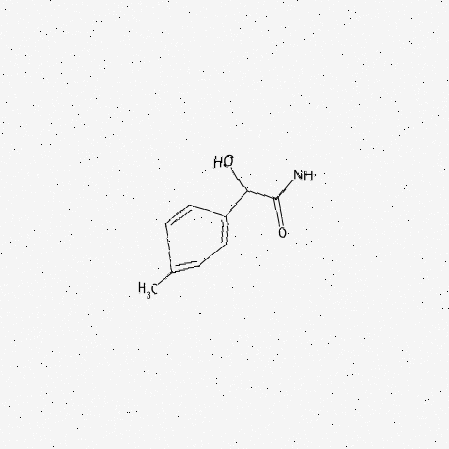 Cc1ccc(C(O)C([NH])=O)cc1